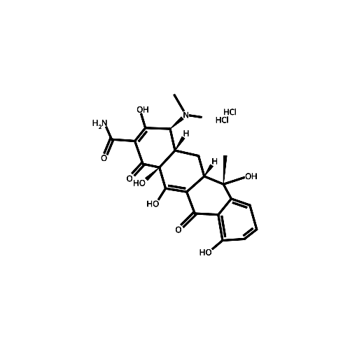 CN(C)[C@@H]1C(O)=C(C(N)=O)C(=O)[C@@]2(O)C(O)=C3C(=O)c4c(O)cccc4[C@@](C)(O)[C@H]3C[C@@H]12.Cl.Cl